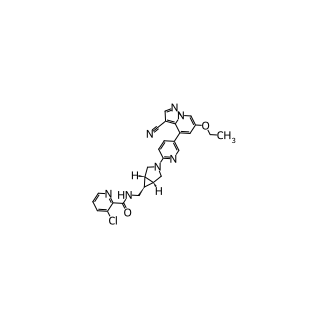 CCOc1cc(-c2ccc(N3C[C@@H]4[C@@H](CNC(=O)c5ncccc5Cl)[C@@H]4C3)nc2)c2c(C#N)cnn2c1